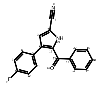 N#Cc1cc(-c2ccc(F)cc2)c(C(=O)c2ccccc2)[nH]1